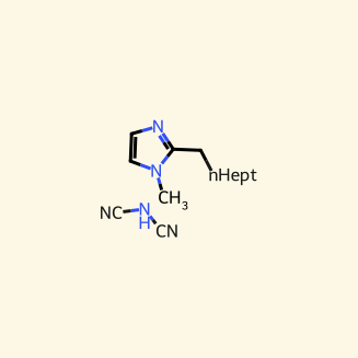 CCCCCCCCc1nccn1C.N#CNC#N